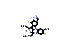 COCC(C)(C)c1c([C@@H](F)CC(=O)O)c2c(F)c3[nH]ncc3cc2n1-c1ccc(F)c(C)c1